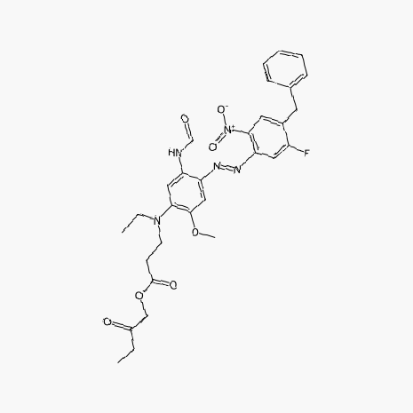 CCC(=O)COC(=O)CCN(CC)c1cc(NC=O)c(/N=N/c2cc(F)c(Cc3ccccc3)cc2[N+](=O)[O-])cc1OC